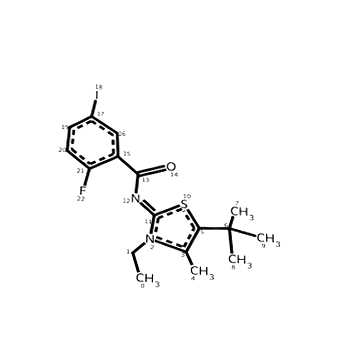 CCn1c(C)c(C(C)(C)C)s/c1=N\C(=O)c1cc(I)ccc1F